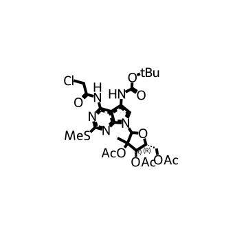 CSc1nc(NC(=O)CCl)c2c(NC(=O)OC(C)(C)C)cn(C3O[C@H](COC(C)=O)[C@@H](OC(C)=O)C3(C)OC(C)=O)c2n1